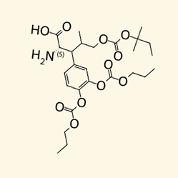 CCCOC(=O)Oc1ccc(C(C(C)COC(=O)OC(C)(C)CC)[C@H](N)C(=O)O)cc1OC(=O)OCCC